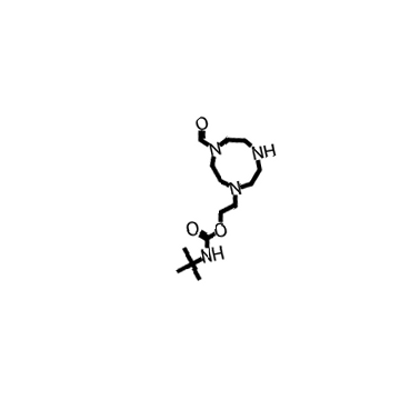 CC(C)(C)NC(=O)OCCN1CCNCCN(C=O)CC1